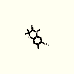 Cc1cc2c(cc1C(F)(F)F)N(C)C(=O)C(C)(C)O2